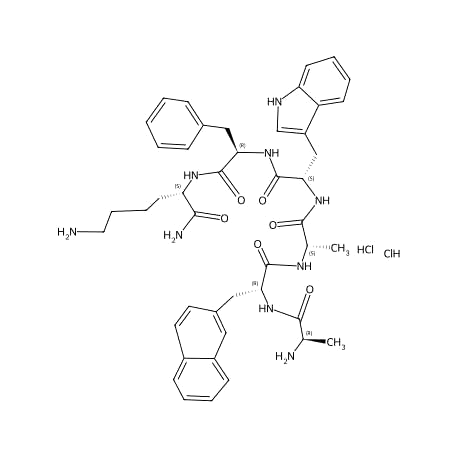 C[C@H](NC(=O)[C@@H](Cc1ccc2ccccc2c1)NC(=O)[C@@H](C)N)C(=O)N[C@@H](Cc1c[nH]c2ccccc12)C(=O)N[C@H](Cc1ccccc1)C(=O)N[C@@H](CCCCN)C(N)=O.Cl.Cl